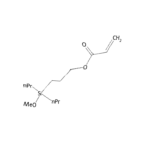 C=CC(=O)OCCC[Si](CCC)(CCC)OC